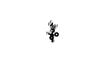 COc1ccc2c(C#N)c(-c3ccc(S(=O)(=O)NC(CF)CF)cn3)n(C3CCCCC3)c2c1